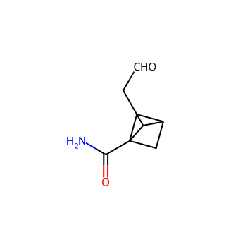 NC(=O)C12CC(C1)C2CC=O